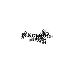 O=C(O)CN(CCN(CC(=O)O)CC(Cc1ccc(NC(=O)CCCN2C(=O)C=CC2=O)cc1)N(CCOCO)CC(=O)O)CC(=O)O